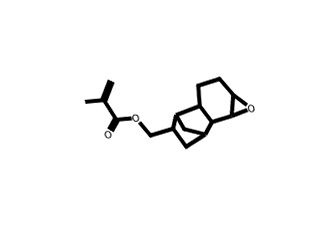 C=C(C)C(=O)OCC1CC2CC1C1CCC3OC3C21